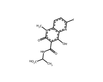 CC(NC(=O)c1c(O)c2nc(I)ccc2n(C)c1=O)C(=O)O